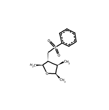 C[C@@H]1[C@@H](CS(=O)(=O)c2ccccc2)[C@H](C)O[C@@H]1C